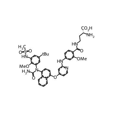 COc1cc(Nc2cc(Oc3ccc(N(C(N)=O)c4cc(C(C)(C)C)cc(NS(C)(=O)=O)c4OC)c4ccccc34)ccn2)ccc1C(=O)NCC[C@@H](N)C(=O)O